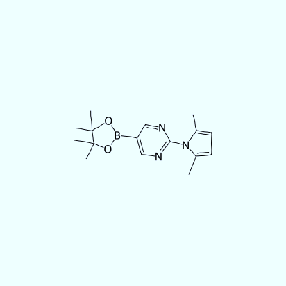 Cc1ccc(C)n1-c1ncc(B2OC(C)(C)C(C)(C)O2)cn1